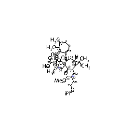 CCC1=CCCN(C)C(C)=C1C(=O)OC(/C(C)=C\C1(C)C(=O)C(/C=C(/CCOC(C)C)COC)C2[C@@H](CC1C)C2(C)C)C(C)O